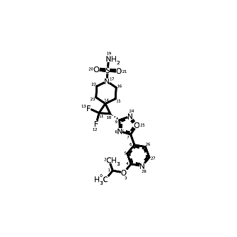 CC(C)Oc1cc(-c2nc([C@@H]3C(F)(F)C34CCN(S(N)(=O)=O)CC4)no2)ccn1